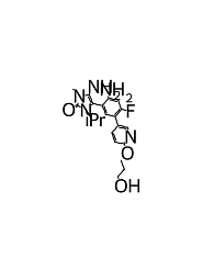 CC(C)n1c(-c2cc(-c3ccc(OCCCO)nc3)c(F)cc2N)c(N)n(C)c1=O